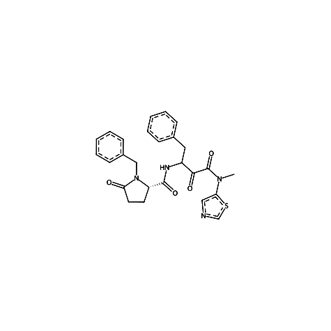 CN(C(=O)C(=O)C(Cc1ccccc1)NC(=O)[C@@H]1CCC(=O)N1Cc1ccccc1)c1cncs1